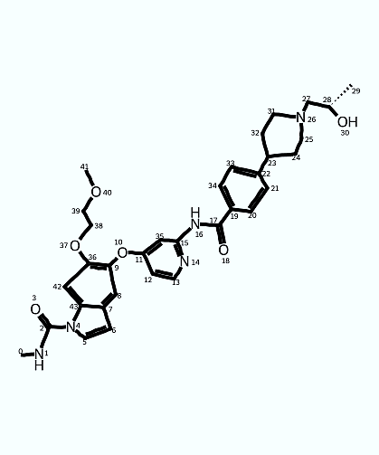 CNC(=O)n1ccc2cc(Oc3ccnc(NC(=O)c4ccc(C5CCN(C[C@H](C)O)CC5)cc4)c3)c(OCCOC)cc21